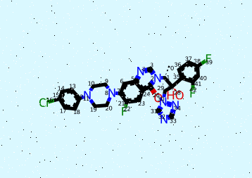 C[C@@H](n1cnc2cc(N3CCN(c4ccc(Cl)cc4)CC3)c(F)cc2c1=O)[C@](O)(Cn1cncn1)c1ccc(F)cc1F